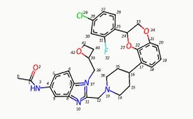 CC(=O)Nc1ccc2c(c1)nc(CN1CCC(c3cccc4c3OC(c3ccc(Cl)cc3F)CO4)CC1)n2CC1CCO1